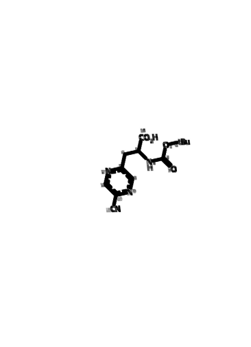 CC(C)(C)OC(=O)NC(Cc1cnc(C#N)cn1)C(=O)O